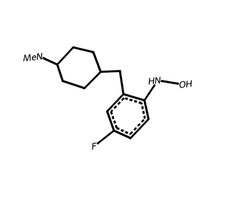 CNC1CCC(Cc2cc(F)ccc2NO)CC1